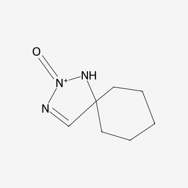 O=[N+]1N=CC2(CCCCC2)N1